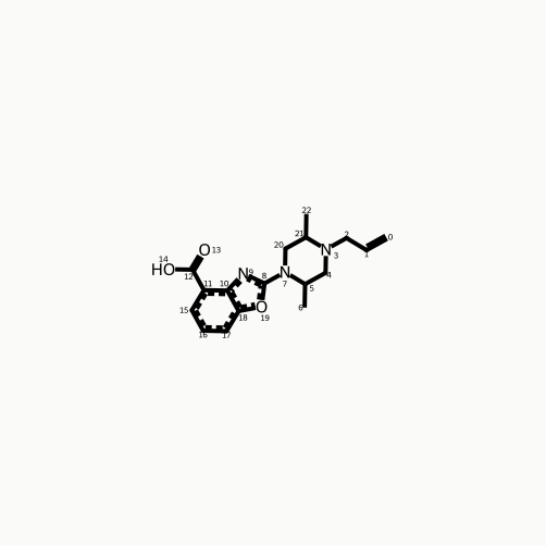 C=CCN1CC(C)N(c2nc3c(C(=O)O)cccc3o2)CC1C